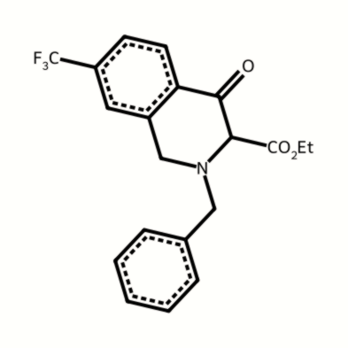 CCOC(=O)C1C(=O)c2ccc(C(F)(F)F)cc2CN1Cc1ccccc1